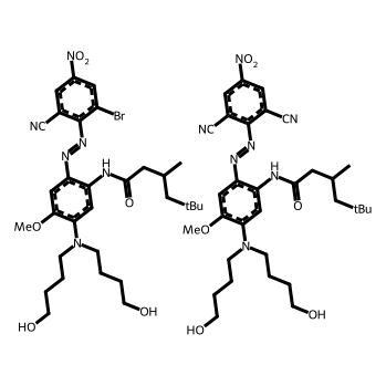 COc1cc(N=Nc2c(Br)cc([N+](=O)[O-])cc2C#N)c(NC(=O)CC(C)CC(C)(C)C)cc1N(CCCCO)CCCCO.COc1cc(N=Nc2c(C#N)cc([N+](=O)[O-])cc2C#N)c(NC(=O)CC(C)CC(C)(C)C)cc1N(CCCCO)CCCCO